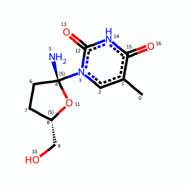 Cc1cn([C@@]2(N)CC[C@@H](CO)O2)c(=O)[nH]c1=O